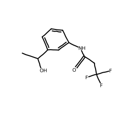 CC(O)c1cccc(NC(=O)CC(F)(F)F)c1